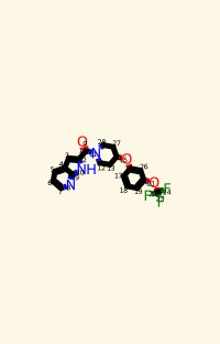 O=C(c1cc2cccnc2[nH]1)N1CCC(Oc2cccc(OC(F)(F)F)c2)CC1